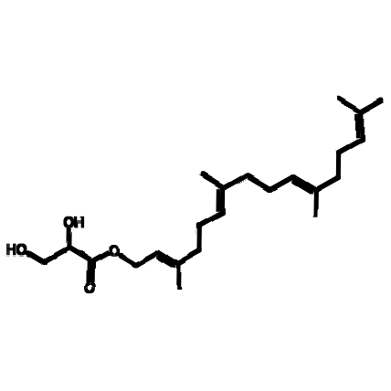 CC(C)=CCCC(C)=CCCC(C)=CCCC(C)=CCOC(=O)C(O)CO